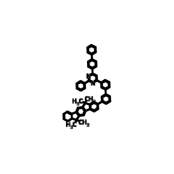 CC1(C)c2cc(-c3cccc(-c4cccc(-c5cc(-c6ccc(-c7ccccc7)cc6)nc(-c6ccccc6)n5)c4)c3)ccc2-c2cc3c(cc21)C1=CC=CCC1C3(C)C